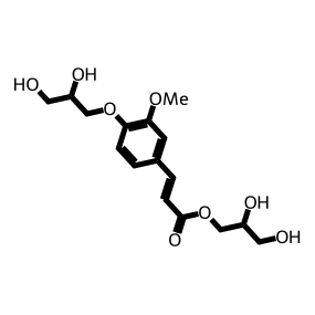 COc1cc(C=CC(=O)OCC(O)CO)ccc1OCC(O)CO